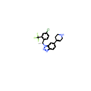 C[C@H](c1ccc(Cl)cc1C(F)(F)F)n1nnc2ccc(C3=CCNCC3)cc21